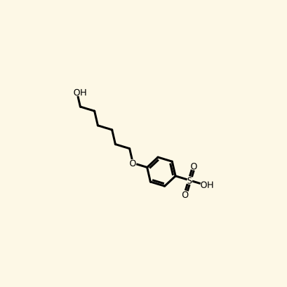 O=S(=O)(O)c1ccc(OCCCCCCO)cc1